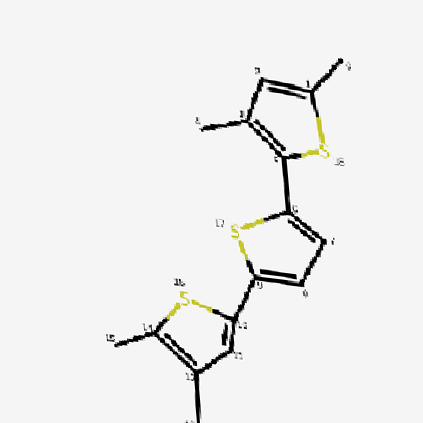 Cc1cc(C)c(-c2ccc(-c3cc(C)c(C)s3)s2)s1